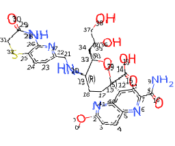 COc1ccc2nc(C(N)=O)cc([C@]3(C(=O)O)CC[C@@H](NCc4ccc5c(n4)NC(=O)CS5)[C@@H](C[C@@H](O)CO)O3)c2n1